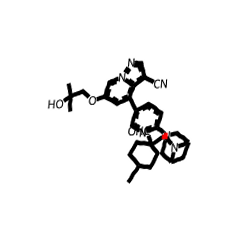 CC1CCC(C=O)(CN2C3CC2CN(c2ccc(-c4cc(OCC(C)(C)O)cn5ncc(C#N)c45)cn2)C3)CC1